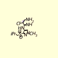 CC(C)CS(=O)(=O)c1nn(C)cc1NC(=N)/C(Cl)=C\N